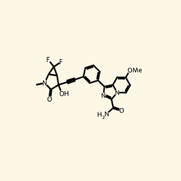 COc1ccn2c(C(N)=O)nc(-c3cccc(C#CC4(O)C(=O)N(C)C5C4C5(F)F)c3)c2c1